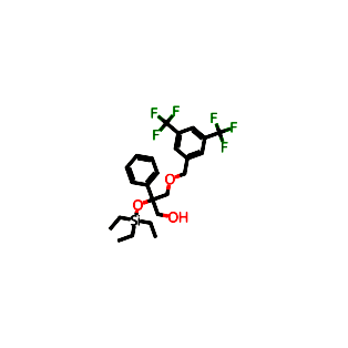 CC[Si](CC)(CC)OC(CO)(COCc1cc(C(F)(F)F)cc(C(F)(F)F)c1)c1ccccc1